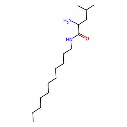 CCCCCCCCCCCNC(=O)C(N)CC(C)C